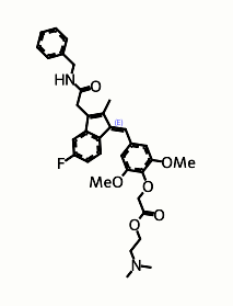 COc1cc(/C=C2/C(C)=C(CC(=O)NCc3ccccc3)c3cc(F)ccc32)cc(OC)c1OCC(=O)OCCN(C)C